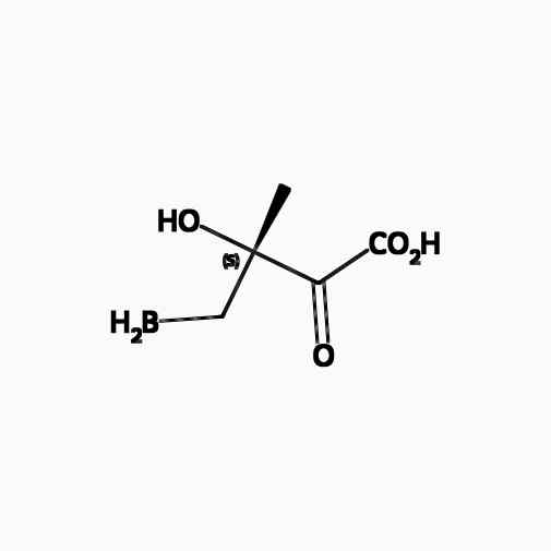 BC[C@](C)(O)C(=O)C(=O)O